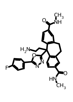 CNC(=O)c1ccc2c(c1)CCc1cc(C(=O)NC)ccc1C2(CCN)c1nnc(-c2ccc(F)cc2)o1